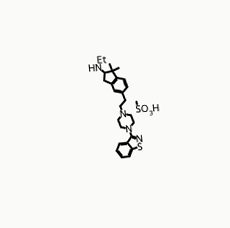 CCNC1Cc2cc(CCN3CCN(c4nsc5ccccc45)CC3)ccc2C1(C)C.CS(=O)(=O)O